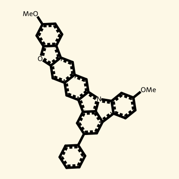 COc1ccc2c(c1)oc1cc3cc4c5cc(-c6ccccc6)cc6c7ccc(OC)cc7n(c4cc3cc12)c65